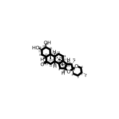 C[C@@H]1CC[C@@]2(OC1)O[C@H]1C[C@H]3[C@@H]4CC(=O)[C@@H]5C[C@@H](O)[C@@H](O)C[C@]5(C)[C@H]4CC[C@]3(C)[C@H]1[C@@H]2C